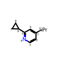 CC(C)c1ccnc(C2CC2)c1